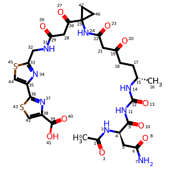 CC(=O)N[C@H](CC(N)=O)C(=O)NC(=O)N[C@@H](C)CCC(=O)CC(=O)NC1(C(=O)CC(=O)NCc2nc(-c3nc(C(=O)O)cs3)cs2)CC1